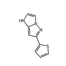 c1csc(-c2cc3[nH]ccn3n2)c1